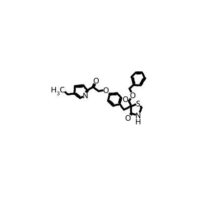 CCc1ccc(C(=O)COc2ccc(CC3(C(=O)OCc4ccccc4)SCNC3=O)cc2)nc1